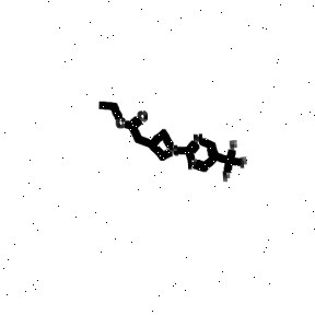 CCOC(=O)CC1CN(c2ncc(C(F)(F)F)cn2)C1